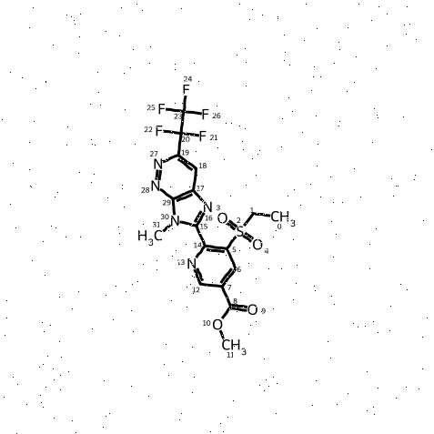 CCS(=O)(=O)c1cc(C(=O)OC)cnc1-c1nc2cc(C(F)(F)C(F)(F)F)nnc2n1C